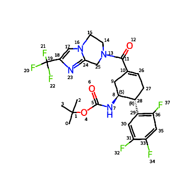 CC(C)(C)OC(=O)N[C@H]1CC(C(=O)N2CCn3cc(C(F)(F)F)nc3C2)=CC[C@@H]1c1cc(F)c(F)cc1F